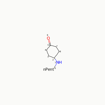 CCCCCNC1CCC(=O)CC1